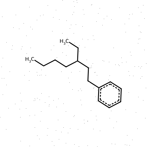 CCCCC([CH]Cc1ccccc1)CC